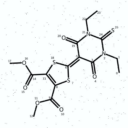 CCN1C(=O)C(=C2SC(C(=O)OC)=C(C(=O)OC)S2)C(=O)N(CC)C1=S